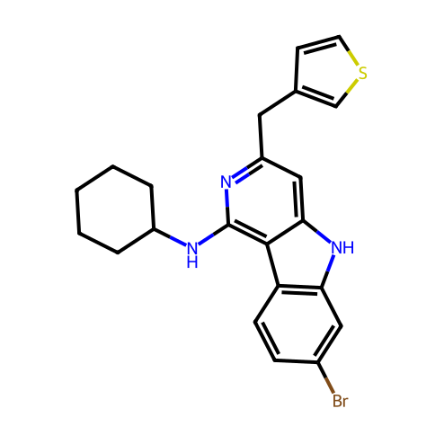 Brc1ccc2c(c1)[nH]c1cc(Cc3ccsc3)nc(NC3CCCCC3)c12